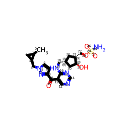 CC1CC1Cn1ccc(C(=O)c2cncnc2NC[C@@H]2C[C@H](COS(N)(=O)=O)[C@@H](O)C2)n1